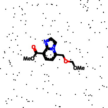 COCOCc1ccc(C(=O)OC)c2nccn12